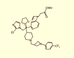 CCc1nccn1CC(c1cccc(F)c1)(C1CCN(CC2CN(c3ccc(C(F)(F)F)cc3)C2)CC1)[C@H]1CCC[C@@H]1/C=C/CCC(=O)OC